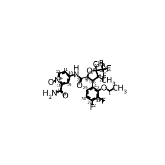 CCOc1c([C@H]2[C@@H](C(=O)Nc3cc[n+]([O-])c(C(N)=O)c3)O[C@](C)(C(F)(F)F)[C@@H]2C)ccc(F)c1F